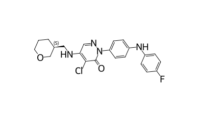 O=c1c(Cl)c(NC[C@@H]2CCCOC2)cnn1-c1ccc(Nc2ccc(F)cc2)cc1